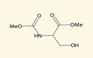 COC(=O)NC(CO)C(=O)OC